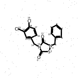 O=c1sn(Cc2ccccc2)c(=O)n1Cc1ccc(Cl)c(Cl)c1